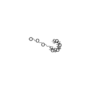 C[Si](C)(C)O[Si](C)(C)O[Si](C)(C)O[Si](C)(C)O[Si](C)(C)CCCOCCOCC[O]